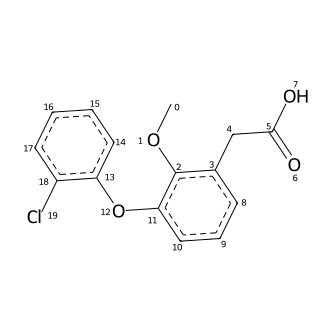 COc1c(CC(=O)O)cccc1Oc1ccccc1Cl